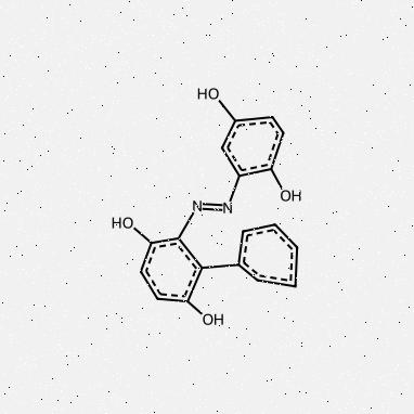 Oc1ccc(O)c(N=Nc2c(O)ccc(O)c2-c2ccccc2)c1